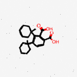 CC1(c2ccc(C(=O)O)c(C(=O)O)c2C2(C)CCCCC2)CCCCC1